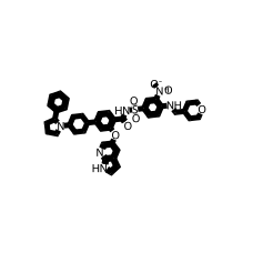 O=C(NS(=O)(=O)c1ccc(NCC2CCOCC2)c([N+](=O)[O-])c1)c1ccc(C2CCC(N3CCCC3c3ccccc3)CC2)cc1Oc1cnc2[nH]ccc2c1